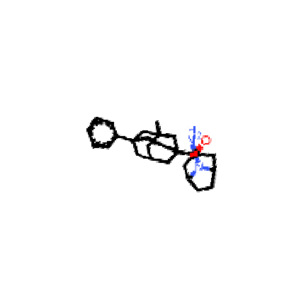 CC12CC3CC(C(=O)N4C5CCC4CC(N)C5)(C1)CC(c1ccccc1)(C3)C2